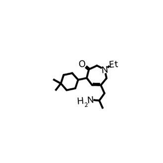 CCN1CC(=O)C(C2CCC(C)(C)CC2)C=C(CC(C)N)C1